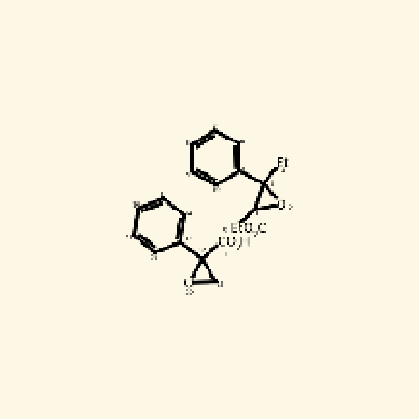 CCOC(=O)C1OC1(CC)c1ccccc1.O=C(O)C1(c2ccccc2)CO1